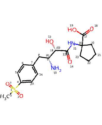 CS(=O)(=O)c1ccc(C[C@@H](N)[C@H](O)C(=O)NC2(C(=O)O)CCCC2)cc1